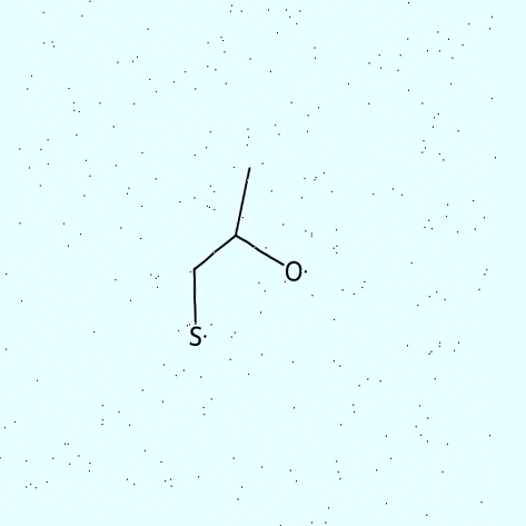 CC([O])C[S]